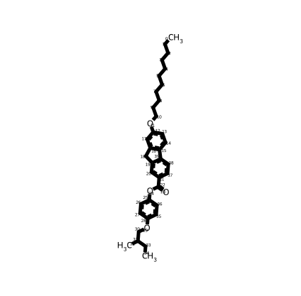 CCCCCCCCCCCOc1ccc2c(c1)Cc1cc(C(=O)Oc3ccc(OCC(C)CC)cc3)ccc1-2